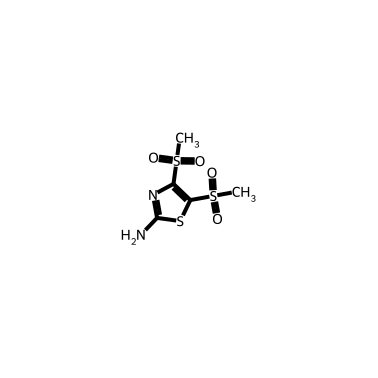 CS(=O)(=O)c1nc(N)sc1S(C)(=O)=O